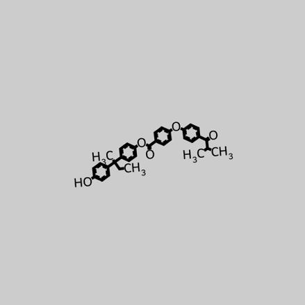 CCC(C)(c1ccc(O)cc1)c1ccc(OC(=O)c2ccc(Oc3ccc(C(=O)C(C)C)cc3)cc2)cc1